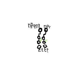 CCCCCc1ccc(CCc2ccc(-c3ccc([C@H]4CC[C@H](CC)CC4)cc3F)cc2)cc1.CCCc1ccc(CCc2ccc(-c3ccc([C@H]4CC[C@H](CC)CC4)cc3F)cc2)cc1